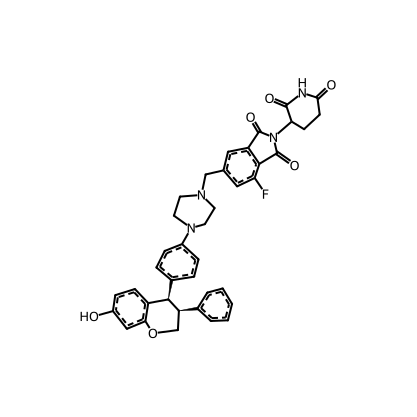 O=C1CCC(N2C(=O)c3cc(CN4CCN(c5ccc([C@@H]6c7ccc(O)cc7OC[C@@H]6c6ccccc6)cc5)CC4)cc(F)c3C2=O)C(=O)N1